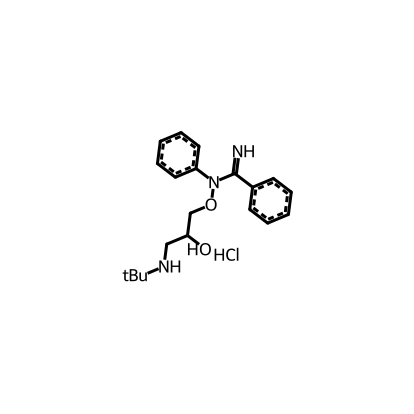 CC(C)(C)NCC(O)CON(C(=N)c1ccccc1)c1ccccc1.Cl